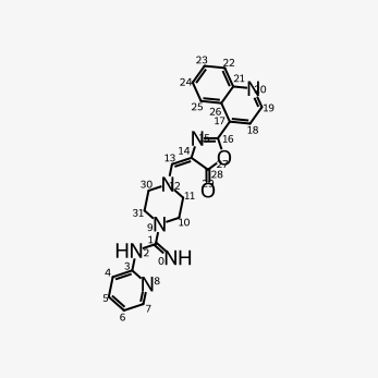 N=C(Nc1ccccn1)N1CCN(/C=C2/N=C(c3ccnc4ccccc34)OC2=O)CC1